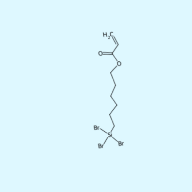 C=CC(=O)OCCCCCC[Si](Br)(Br)Br